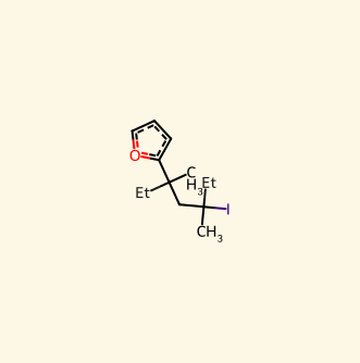 CCC(C)(I)CC(C)(CC)c1ccco1